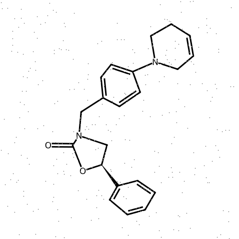 O=C1O[C@H](c2ccccc2)CN1Cc1ccc(N2CC=CCC2)cc1